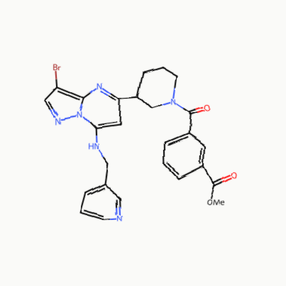 COC(=O)c1cccc(C(=O)N2CCCC(c3cc(NCc4cccnc4)n4ncc(Br)c4n3)C2)c1